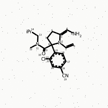 C=CN1/C(=C\N)CCC1(C(=O)N(C)CC(C)C)c1ccc(C#N)cc1Cl